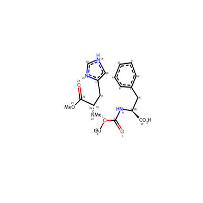 CC(C)(C)OC(=O)N[C@@H](Cc1ccccc1)C(=O)O.CN[C@@H](Cc1c[nH]cn1)C(=O)OC